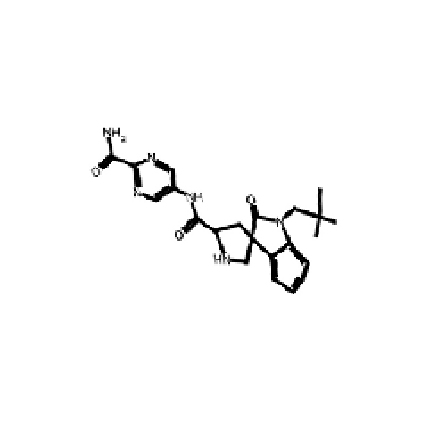 CC(C)(C)CN1C(=O)C2(CNC(C(=O)Nc3cnc(C(N)=O)nc3)C2)c2ccccc21